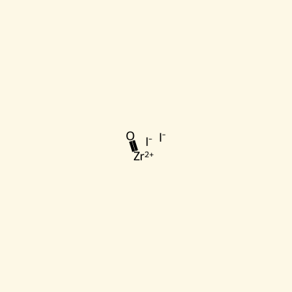 [I-].[I-].[O]=[Zr+2]